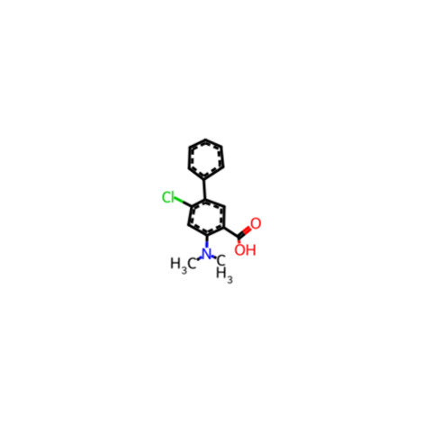 CN(C)c1cc(Cl)c(-c2ccccc2)cc1C(=O)O